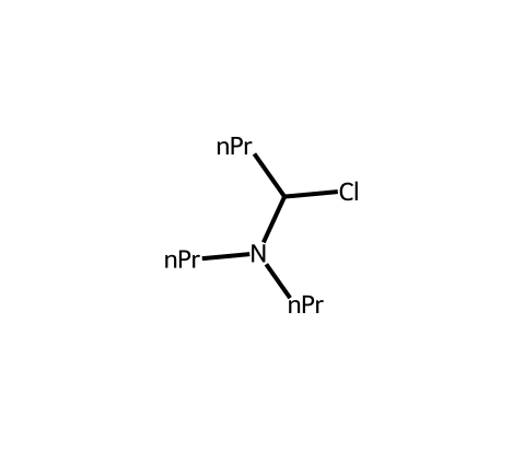 CCCC(Cl)N(CCC)CCC